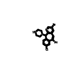 CC(=O)C1=Cc2cc(Br)cnc2C(N2CCNCC2)c2ccc(Cl)cc21